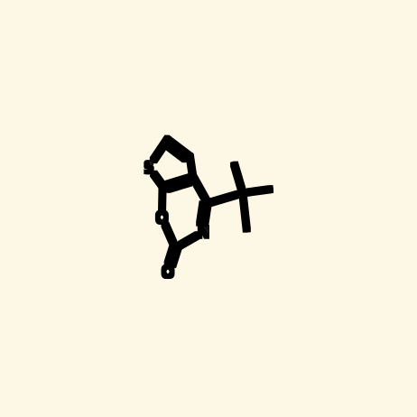 CC(C)(C)c1nc(=O)oc2sccc12